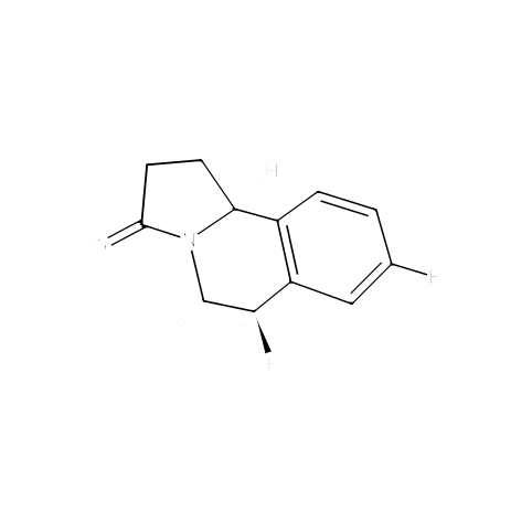 C[C@H]1[C@H](F)c2cc(F)ccc2[C@@H]2CCC(=O)N21